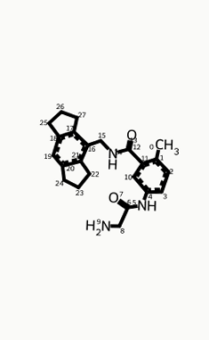 Cc1ccc(NC(=O)CN)cc1C(=O)NCc1c2c(cc3c1CCC3)CCC2